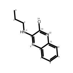 CCCNc1nc2ccccc2nc1Cl